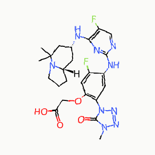 Cn1nnn(-c2cc(Nc3ncc(F)c(N[C@@H]4C[C@@H]5CCCN5C(C)(C)C4)n3)c(F)cc2OCC(=O)O)c1=O